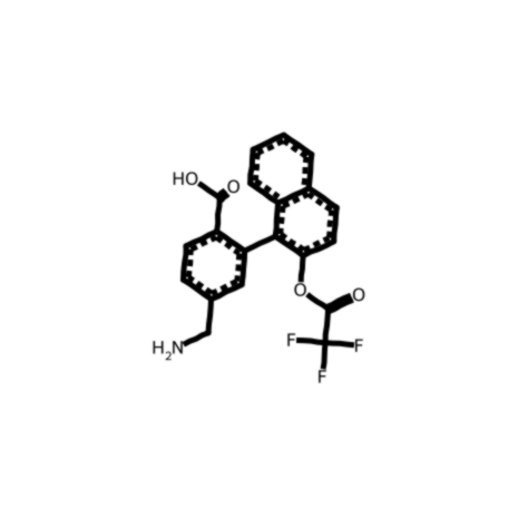 NCc1ccc(C(=O)O)c(-c2c(OC(=O)C(F)(F)F)ccc3ccccc23)c1